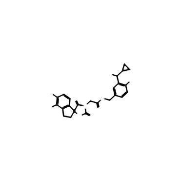 O=C(CN1C(=O)OC2(CCc3c2ccc(Br)c3F)C1=O)NCc1ccc(F)c(C(C2CC2)C(F)(F)F)c1